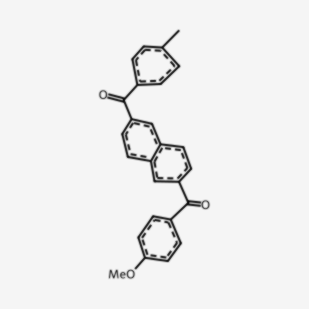 COc1ccc(C(=O)c2ccc3cc(C(=O)c4ccc(C)cc4)ccc3c2)cc1